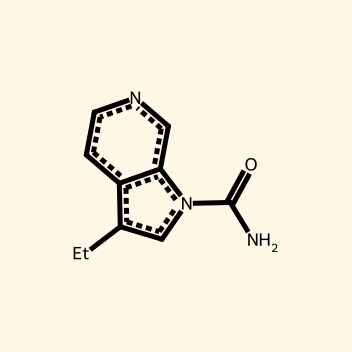 CCc1cn(C(N)=O)c2cnccc12